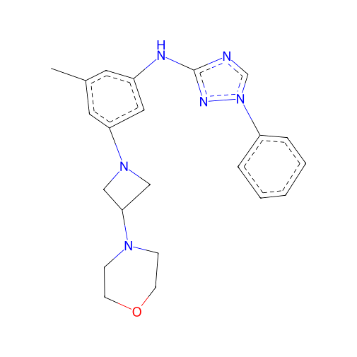 Cc1cc(Nc2ncn(-c3ccccc3)n2)cc(N2CC(N3CCOCC3)C2)c1